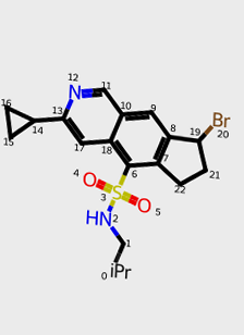 CC(C)CNS(=O)(=O)c1c2c(cc3cnc(C4CC4)cc13)C(Br)CC2